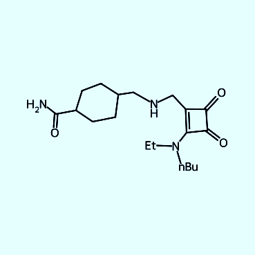 CCCCN(CC)c1c(CNCC2CCC(C(N)=O)CC2)c(=O)c1=O